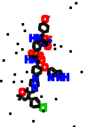 COC1CCC(CNc2ccc(S(=O)(=O)NC(=O)c3ccc(N4CCN(CC5=C(c6ccc(Cl)cc6)CC(C)(C)OC5)CC4)cc3Oc3cnc4[nH]ccc4c3)cc2[N+](=O)[O-])CC1